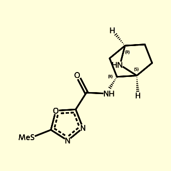 CSc1nnc(C(=O)N[C@@H]2C[C@H]3CC[C@@H]2N3)o1